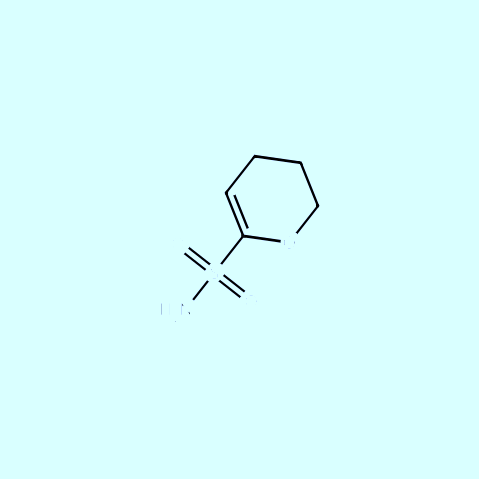 NS(=O)(=O)C1=CCCCO1